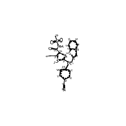 Cc1sc(N(Cc2cc3ccccc3s2)c2ccc(C#N)cc2)nc1C(=O)NS(C)(=O)=O